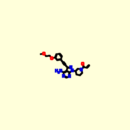 C=CC(=O)N1CCCC(n2nc(C#Cc3cccc(OCCOC)c3)c3c(N)ncnc32)C1